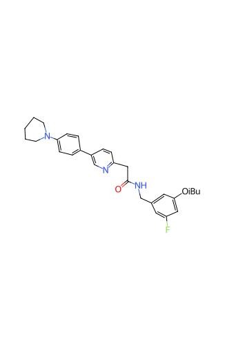 CC(C)COc1cc(F)cc(CNC(=O)Cc2ccc(-c3ccc(N4CCCCC4)cc3)cn2)c1